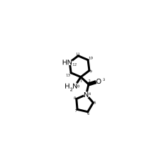 NC1(C(=O)N2CCCC2)CCCNC1